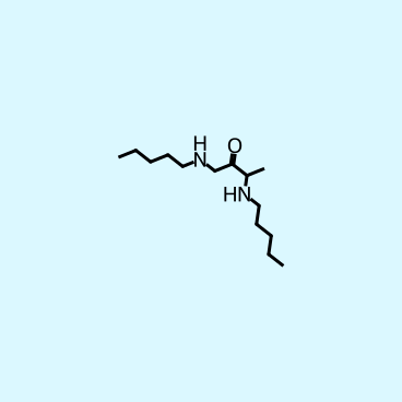 CCCCCNCC(=O)C(C)NCCCCC